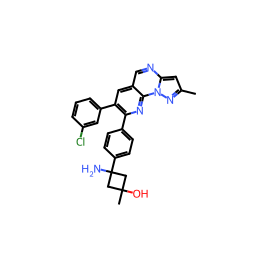 Cc1cc2ncc3cc(-c4cccc(Cl)c4)c(-c4ccc(C5(N)CC(C)(O)C5)cc4)nc3n2n1